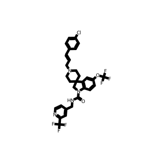 O=C(NCc1ccnc(C(F)(F)F)c1)N1CC2(CCN(CC=Cc3ccc(Cl)cc3)CC2)c2cc(OC(F)(F)F)ccc21